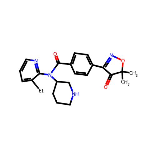 CCc1cccnc1N(C(=O)c1ccc(C2=NOC(C)(C)C2=O)cc1)C1CCCNC1